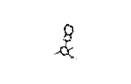 Cc1c(N)cc(F)cc1-c1nc2ccccc2s1